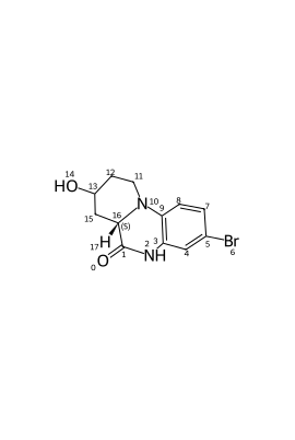 O=C1Nc2cc(Br)ccc2N2CCC(O)C[C@@H]12